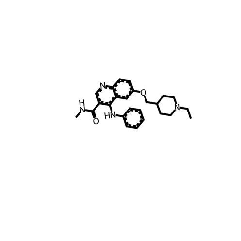 CCN1CCC(COc2ccc3ncc(C(=O)NC)c(Nc4ccccc4)c3c2)CC1